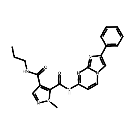 CCCNC(=O)c1cnn(C)c1C(=O)Nc1ccn2cc(-c3ccccc3)nc2n1